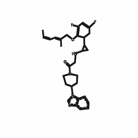 C/C=C\C=C(/C)COC1=C(F)C=C(F)CC1C1CC1NCC(=O)N1CCC(n2cnc3ccccc32)CC1